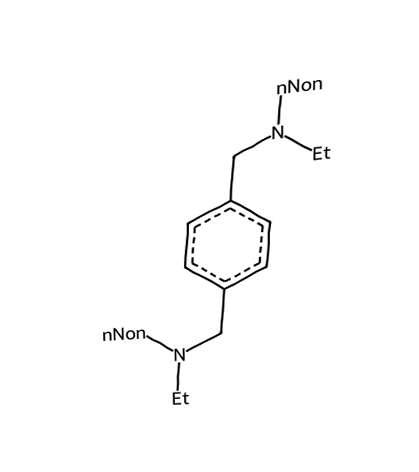 CCCCCCCCCN(CC)Cc1ccc(CN(CC)CCCCCCCCC)cc1